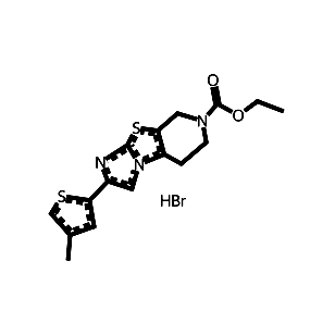 Br.CCOC(=O)N1CCc2c(sc3nc(-c4cc(C)cs4)cn23)C1